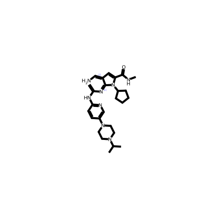 C=C(/N=C1\C(=C/N)C=C(C(=O)NC)N1C1CCCC1)Nc1ccc(N2CCN(C(C)C)CC2)cn1